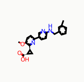 COc1ccc(-c2ccc(NCc3cccc(C)c3)nc2)nc1[C@H]1C[C@@H]1C(=O)O